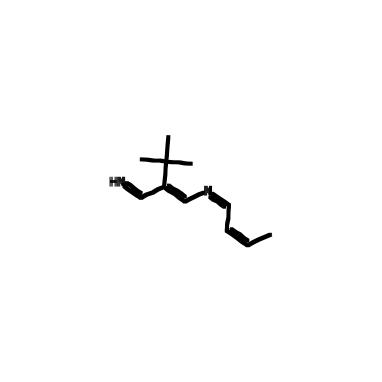 C\C=C/C=N\C=C(\C=N)C(C)(C)C